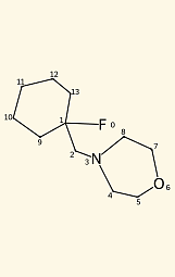 FC1(CN2CCOCC2)CCCCC1